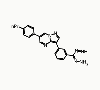 CCCc1ccc(-c2cnc3c(-c4cccc(/C(N=N)=N/N)c4)cnn3c2)cc1